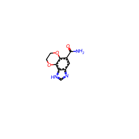 NC(=O)c1cc2nc[nH]c2c2c1OCCO2